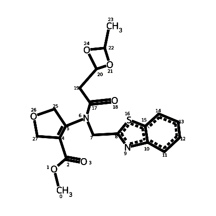 COC(=O)C1=C(N(Cc2nc3ccccc3s2)C(=O)CC2OC(C)O2)COC1